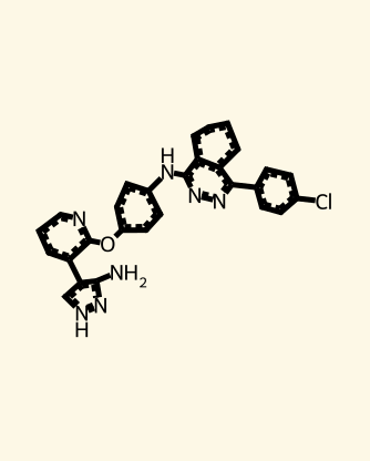 Nc1n[nH]cc1-c1cccnc1Oc1ccc(Nc2nnc(-c3ccc(Cl)cc3)c3ccccc23)cc1